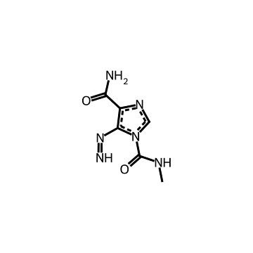 CNC(=O)n1cnc(C(N)=O)c1N=N